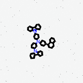 c1cc(N(c2ccc(-c3cccc4ccccc34)cc2)c2ccc(-n3c4ccccc4c4ccccc43)cc2)cc(-n2c3ccccc3c3ccccc32)c1